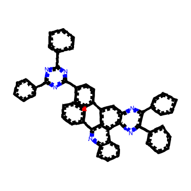 c1ccc(-c2nc(-c3ccccc3)nc(-c3ccc(-c4cc5nc(-c6ccccc6)c(-c6ccccc6)nc5c5c4c(-c4ccccc4)nc4ccccc45)cc3)n2)cc1